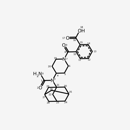 NC(=O)N(C1CCN(C(=O)c2ccccc2C(=O)O)CC1)C12CC3CC(CC(C3)C1)C2